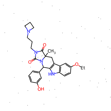 CCOc1ccc2[nH]c3c(c2c1)CC1(C)C(=O)N(CCCN2CCC2)C(=O)N1C3c1cccc(O)c1